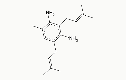 CC(C)=CCc1cc(C)c(N)c(CC=C(C)C)c1N